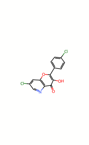 O=c1c(O)c(-c2ccc(Cl)cc2)oc2cc(Cl)cnc12